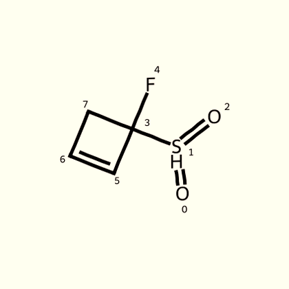 O=[SH](=O)C1(F)C=CC1